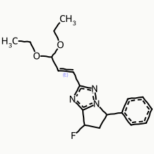 CCOC(/C=C/c1nc2n(n1)C(c1ccccc1)CC2F)OCC